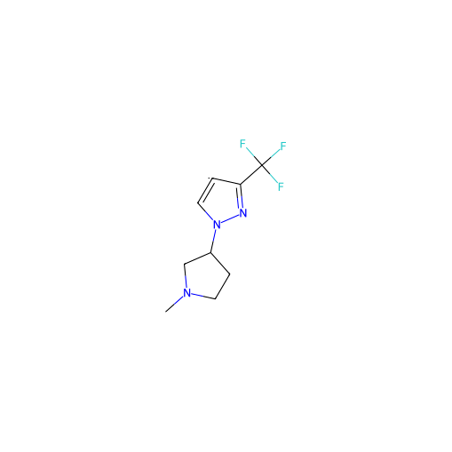 CN1CCC(n2c[c]c(C(F)(F)F)n2)C1